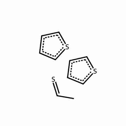 CC=S.c1ccsc1.c1ccsc1